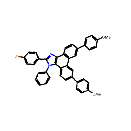 COc1ccc(-c2ccc3c(c2)c2cc(-c4ccc(OC)cc4)ccc2c2c3nc(-c3ccc(Br)cc3)n2-c2ccccc2)cc1